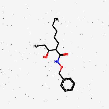 CCCCCC(C(=O)NOCc1ccccc1)[C@@H](O)CC